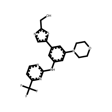 OCc1ncc(-c2cc(Nc3nccc(C(F)(F)F)n3)cc(N3CCOCC3)c2)s1